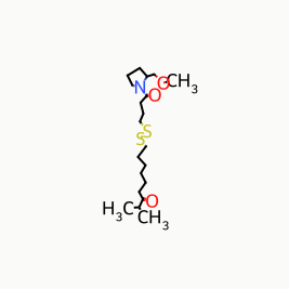 COCC1CCCN1C(=O)CCCSSCCCCCCC(=O)C(C)C